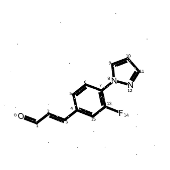 O=C/C=C/c1ccc(-n2cccn2)c(F)c1